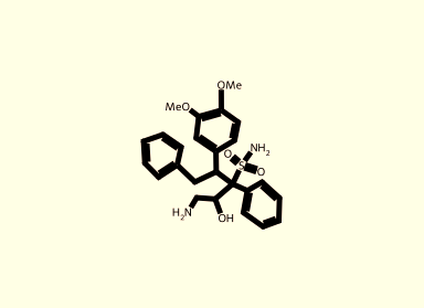 COc1ccc(C(Cc2ccccc2)C(c2ccccc2)(C(O)CN)S(N)(=O)=O)cc1OC